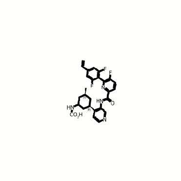 C=Cc1cc(F)c(-c2nc(C(=O)Nc3cnccc3[C@H]3CC(NC(=O)O)C[C@@H](C)C3)ccc2F)c(F)c1